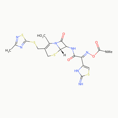 CNC(=O)ON=C(C(=O)NC1C(=O)N2C(C(=O)O)=C(CSc3nc(C)ns3)CS[C@@H]12)c1csc(=N)[nH]1